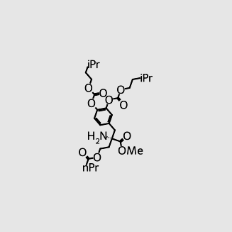 CCCC(=O)OCC[C@@](N)(Cc1ccc(OC(=O)OCCC(C)C)c(OC(=O)OCCC(C)C)c1)C(=O)OC